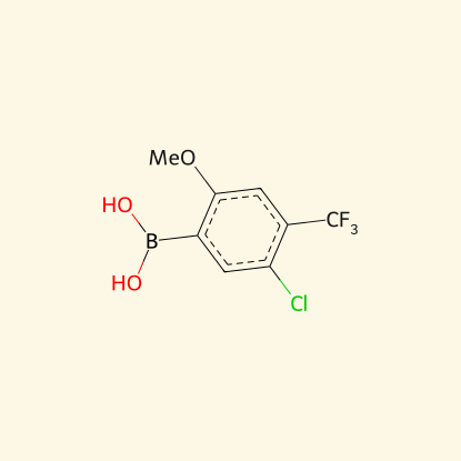 COc1cc(C(F)(F)F)c(Cl)cc1B(O)O